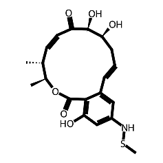 CSNc1cc(O)c2c(c1)/C=C/C[C@H](O)[C@H](O)C(=O)/C=C\[C@@H](C)[C@H](C)OC2=O